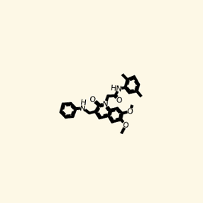 COc1cc2cc(CNc3ccccc3)c(=O)n(CC(=O)Nc3cc(C)ccc3C)c2cc1OC